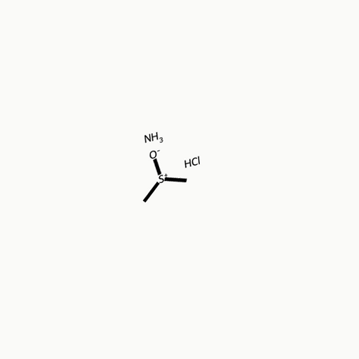 C[S+](C)[O-].Cl.N